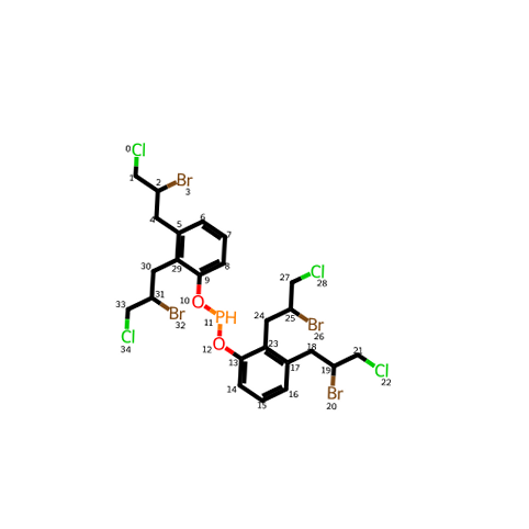 ClCC(Br)Cc1cccc(OPOc2cccc(CC(Br)CCl)c2CC(Br)CCl)c1CC(Br)CCl